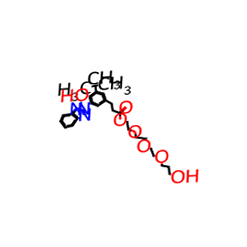 CC(C)(C)c1cc(CCC(=O)OCCOCCOCCOCCCO)cc(-n2nc3ccccc3n2)c1O